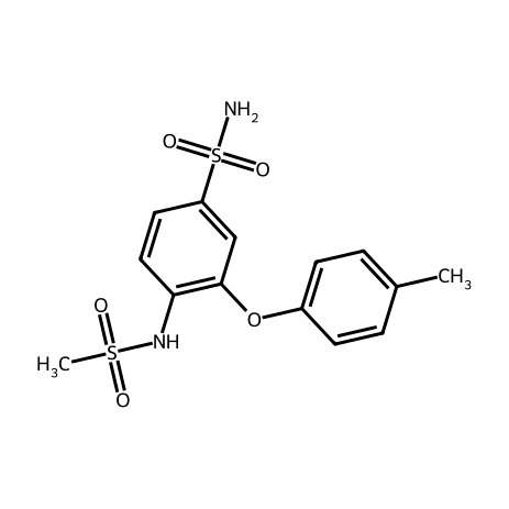 Cc1ccc(Oc2cc(S(N)(=O)=O)ccc2NS(C)(=O)=O)cc1